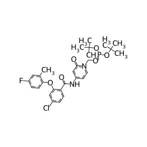 Cc1cc(F)ccc1Oc1cc(Cl)ccc1C(=O)Nc1ccn(COP(OC(C)(C)C)OC(C)(C)C)c(=O)c1